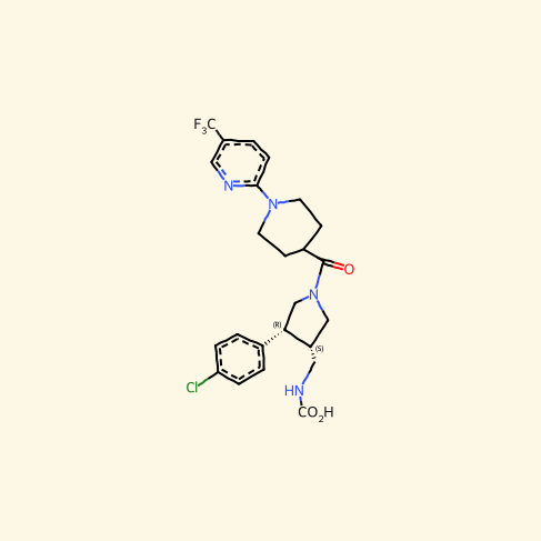 O=C(O)NC[C@H]1CN(C(=O)C2CCN(c3ccc(C(F)(F)F)cn3)CC2)C[C@H]1c1ccc(Cl)cc1